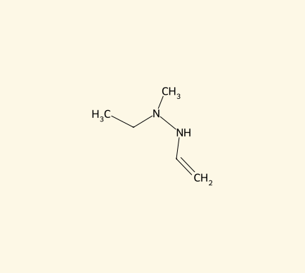 C=CNN(C)CC